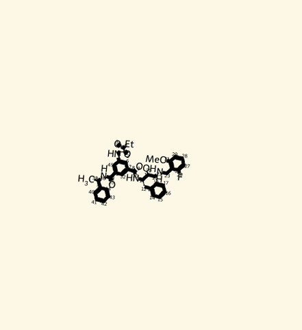 CCS(=O)(=O)Nc1cc(C(=O)N[C@@H](Cc2ccccc2)[C@H](O)CNCc2c(F)cccc2OC)cc(C(=O)N[C@H](C)c2ccccc2)c1